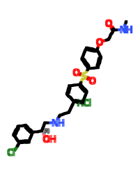 CNC(=O)COc1ccc(S(=O)(=O)c2ccc(CCNC[C@H](O)c3cccc(Cl)c3)cc2)cc1.Cl